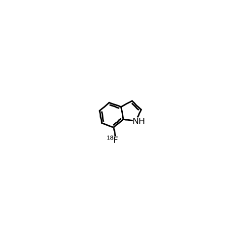 [18F]c1cccc2cc[nH]c12